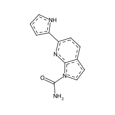 NC(=O)n1ccc2ccc(-c3ccc[nH]3)nc21